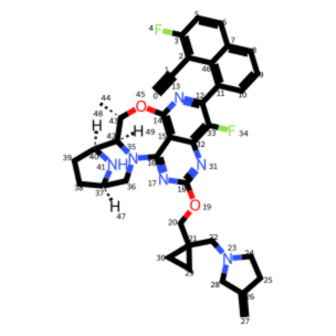 C#Cc1c(F)ccc2cccc(-c3nc4c5c(nc(OCC6(CN7CCC(=C)C7)CC6)nc5c3F)N3C[C@H]5CC[C@H](N5)[C@H]3[C@H](C)O4)c12